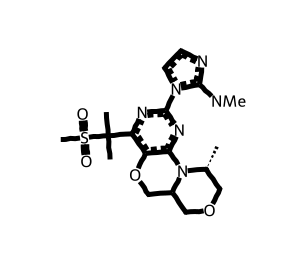 CNc1nccn1-c1nc2c(c(C(C)(C)S(C)(=O)=O)n1)OCC1COC[C@@H](C)N21